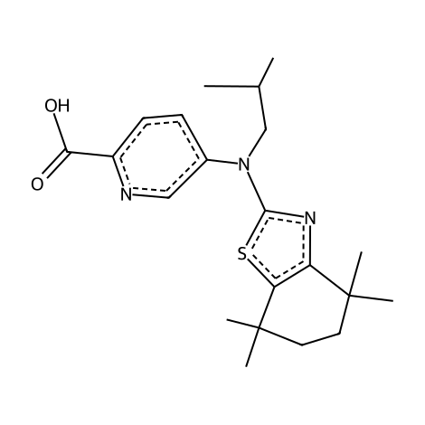 CC(C)CN(c1ccc(C(=O)O)nc1)c1nc2c(s1)C(C)(C)CCC2(C)C